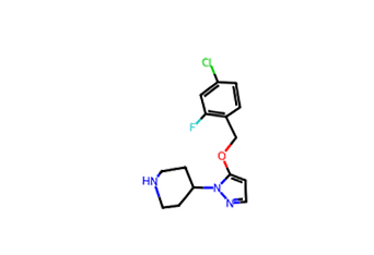 Fc1cc(Cl)ccc1COc1ccnn1C1CCNCC1